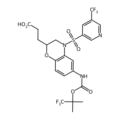 CC(C)(OC(=O)Nc1ccc2c(c1)N(S(=O)(=O)c1cncc(C(F)(F)F)c1)CC(CCC(=O)O)O2)C(F)(F)F